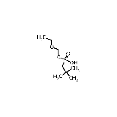 CCOCOP(=O)(O)CC(C)(C)C